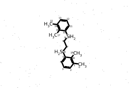 Cc1cccc([SiH2]CC[SiH2]c2cccc(C)c2C)c1C